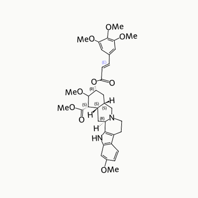 COC(=O)[C@@H]1C(OC)[C@H](OC(=O)/C=C/c2cc(OC)c(OC)c(OC)c2)C[C@@H]2CN3CCc4c([nH]c5cc(OC)ccc45)[C@H]3C[C@@H]21